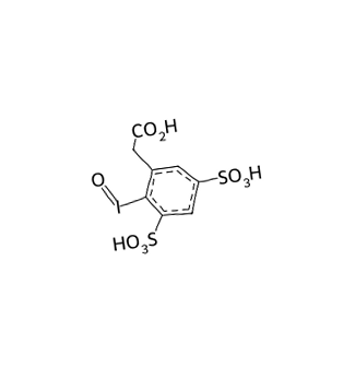 O=Ic1c(CC(=O)O)cc(S(=O)(=O)O)cc1S(=O)(=O)O